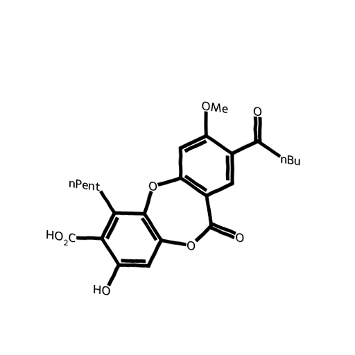 CCCCCc1c2c(cc(O)c1C(=O)O)OC(=O)c1cc(C(=O)CCCC)c(OC)cc1O2